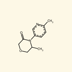 Cc1ccc(N2C(=O)COCC2C)cn1